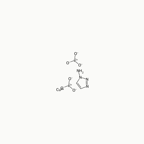 Nn1ccnn1.[Cu+2].[O-][I+2]([O-])[O-].[O-][I+2]([O-])[O-]